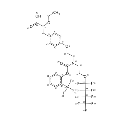 CCOC(Cc1ccc(OCCN(CCOC(F)(F)C(F)(F)C(F)(F)C(F)(F)F)C(=O)Oc2ccccc2C(F)(F)F)cc1)C(=O)O